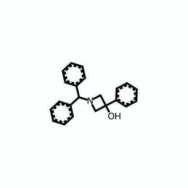 OC1(c2ccccc2)CN(C(c2ccccc2)c2ccccc2)C1